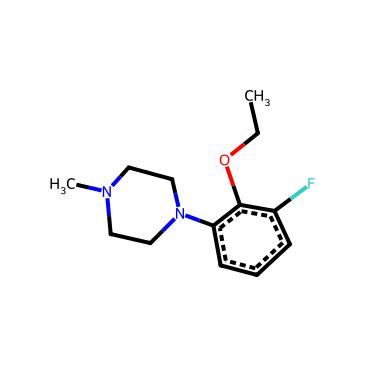 CCOc1c(F)cccc1N1CCN(C)CC1